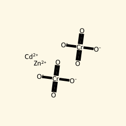 [Cd+2].[O]=[Cr](=[O])([O-])[O-].[O]=[Cr](=[O])([O-])[O-].[Zn+2]